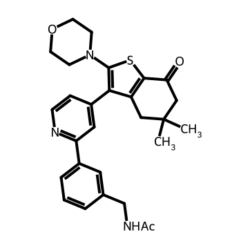 CC(=O)NCc1cccc(-c2cc(-c3c(N4CCOCC4)sc4c3CC(C)(C)CC4=O)ccn2)c1